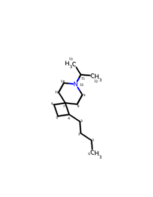 CCCCC1CCC12CCN(C(C)C)CC2